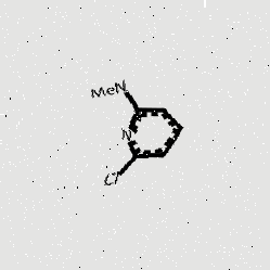 [CH2]Nc1cccc(Cl)n1